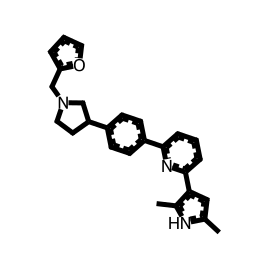 Cc1cc(-c2cccc(-c3ccc(C4CCN(Cc5ccco5)C4)cc3)n2)c(C)[nH]1